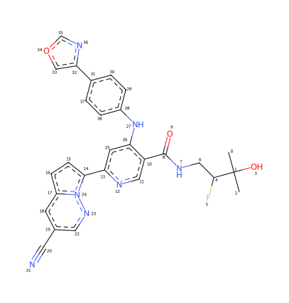 CC(C)(O)C(F)CNC(=O)c1cnc(-c2ccc3cc(C#N)cnn23)cc1Nc1ccc(-c2cocn2)cc1